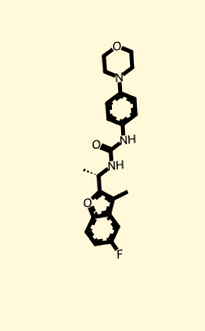 Cc1c([C@H](C)NC(=O)Nc2ccc(N3CCOCC3)cc2)oc2ccc(F)cc12